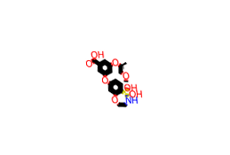 COC[C@H](C)Oc1cc(Oc2ccc3c(c2)OCCNS3(O)O)cc(C(=O)O)c1